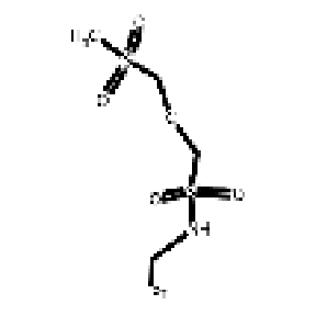 CC(C)CNS(=O)(=O)CCCS(C)(=O)=O